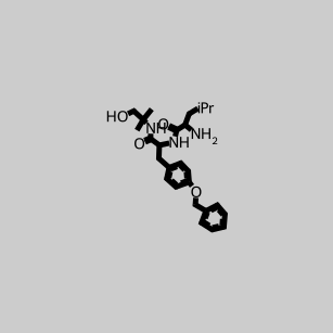 CC(C)CC(N)C(=O)NC(Cc1ccc(OCc2ccccc2)cc1)C(=O)NC(C)(C)CO